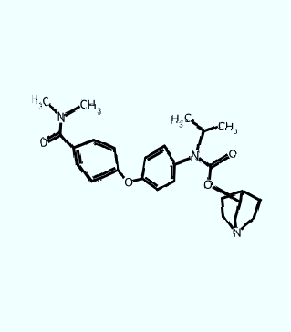 CC(C)N(C(=O)OC1CN2CCC1CC2)c1ccc(Oc2ccc(C(=O)N(C)C)cc2)cc1